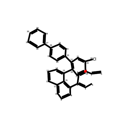 C=C/C=C\C(=C/C)c1cccc2cccc(-c3ccc(Cl)cc3-c3ccc(-c4ccccc4)cc3)c12